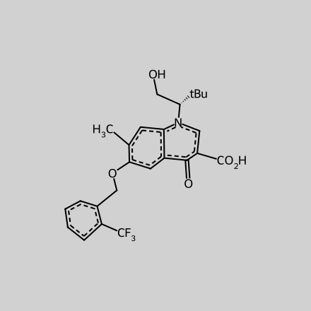 Cc1cc2c(cc1OCc1ccccc1C(F)(F)F)c(=O)c(C(=O)O)cn2[C@H](CO)C(C)(C)C